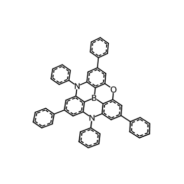 c1ccc(-c2cc3c4c(c2)N(c2ccccc2)c2cc(-c5ccccc5)cc5c2B4c2c(cc(-c4ccccc4)cc2N5c2ccccc2)O3)cc1